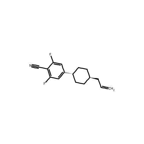 C=CC[C@H]1CC[C@H](c2cc(F)c(C#N)c(F)c2)CC1